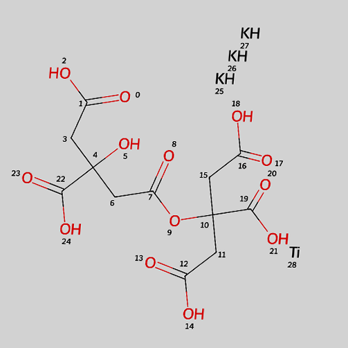 O=C(O)CC(O)(CC(=O)OC(CC(=O)O)(CC(=O)O)C(=O)O)C(=O)O.[KH].[KH].[KH].[Ti]